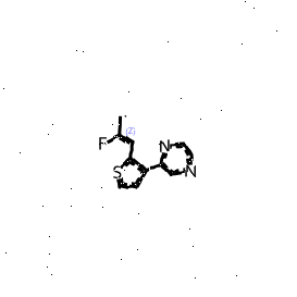 [CH2]/C(F)=C/c1sccc1-c1cnccn1